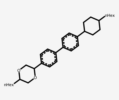 CCCCCCC1CCC(c2ccc(-c3ccc(C4COC(CCCCCC)CO4)cc3)cc2)CC1